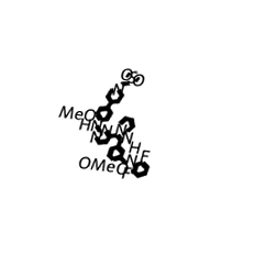 COc1cc(C2CCN(CCS(C)(=O)=O)CC2)ccc1Nc1nccc(-c2c(-c3ccc(OC)c(C(=O)Nc4c(F)cccc4F)c3)nc3ccccn23)n1